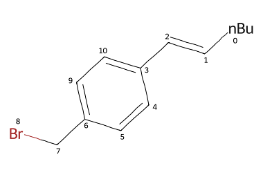 CCCCC=Cc1ccc(CBr)cc1